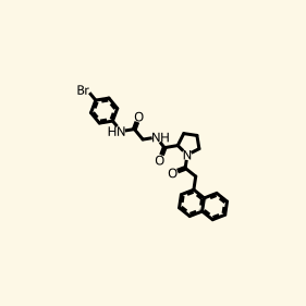 O=C(CNC(=O)C1CCCN1C(=O)Cc1cccc2ccccc12)Nc1ccc(Br)cc1